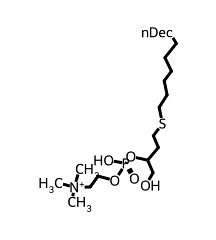 CCCCCCCCCCCCCCCCSCCC(CO)OP(=O)(O)OCC[N+](C)(C)C